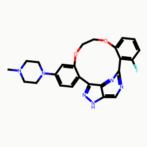 CN1CCN(c2ccc3c(c2)OCCOc2cccc(F)c2-c2ncc4[nH]nc-3c4n2)CC1